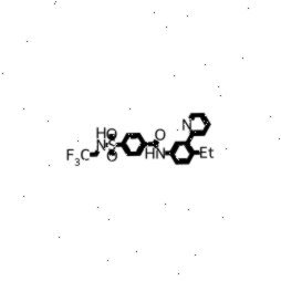 CCc1ccc(NC(=O)c2ccc(S(=O)(=O)NCC(F)(F)F)cc2)cc1-c1ccccn1